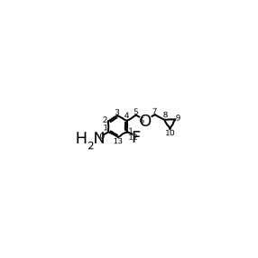 Nc1ccc(COCC2CC2)c(F)c1